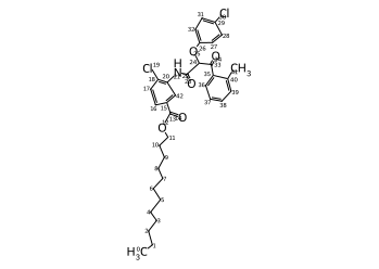 CCCCCCCCCCCCOC(=O)c1ccc(Cl)c(NC(=O)C(Oc2ccc(Cl)cc2)C(=O)c2ccccc2C)c1